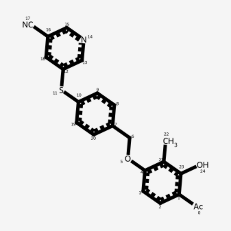 CC(=O)c1ccc(OCc2ccc(Sc3cncc(C#N)c3)cc2)c(C)c1O